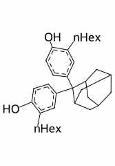 CCCCCCc1cc(C2(c3ccc(O)c(CCCCCC)c3)C3CC4CC(C3)CC2C4)ccc1O